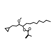 C=C(C)C(=O)OC(CCCCCCCC)C(CCC1CC1)OC